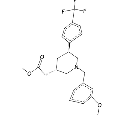 COC(=O)C[C@@H]1C[C@@H](c2ccc(C(F)(F)F)cc2)CN(Cc2cccc(OC)c2)C1